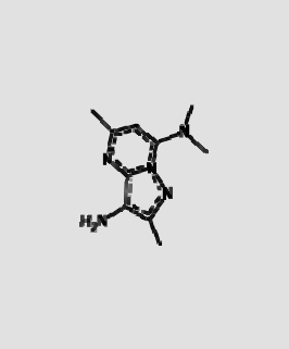 Cc1cc(N(C)C)n2nc(C)c(N)c2n1